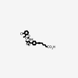 Cc1noc(-c2ccc(C#CCCCCC(=O)O)cc2)c1NC(=O)OC(C)c1ccccc1Cl